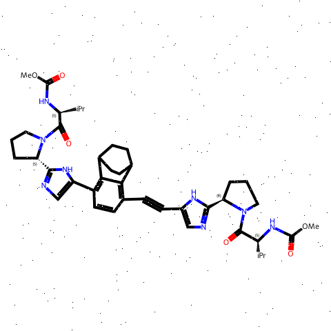 COC(=O)N[C@H](C(=O)N1CCC[C@@H]1c1ncc(C#Cc2ccc(-c3cnc([C@@H]4CCCN4C(=O)[C@@H](NC(=O)OC)C(C)C)[nH]3)c3c2C2CCC3CC2)[nH]1)C(C)C